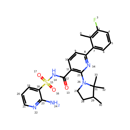 Cc1c(F)cccc1-c1ccc(C(=O)NS(=O)(=O)c2cccnc2N)c(N2CCC(C)C2(C)C)n1